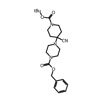 CC(C)(C)OC(=O)N1CCC(C#N)(N2CCN(C(=O)OCc3ccccc3)CC2)CC1